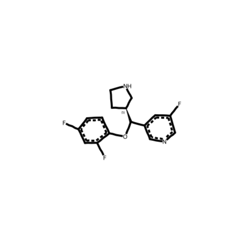 Fc1cncc(C(Oc2ccc(F)cc2F)[C@H]2CCNC2)c1